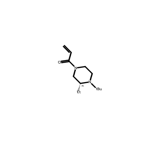 C=CC(=O)N1CCN(C(C)(C)C)[C@H](CC)C1